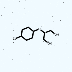 CCC1CCC(OC(CO)CO)CC1